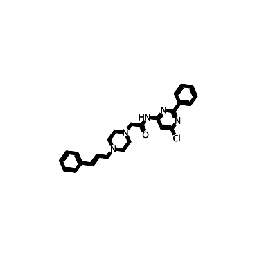 O=C(CN1CCN(CC=Cc2ccccc2)CC1)Nc1cc(Cl)nc(-c2ccccc2)n1